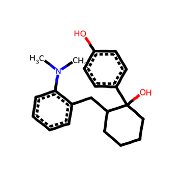 CN(C)c1ccccc1CC1CCCCC1(O)c1ccc(O)cc1